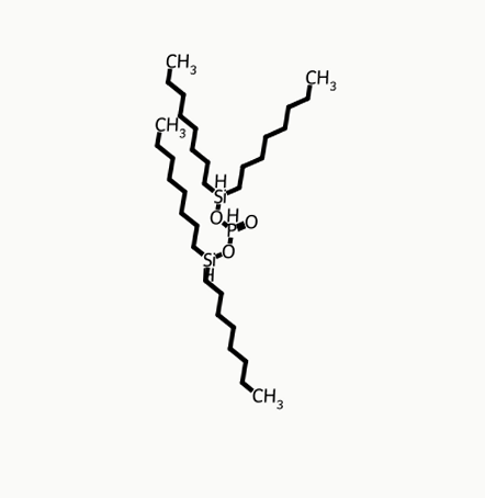 CCCCCCCC[SiH](CCCCCCCC)O[PH](=O)O[SiH](CCCCCCCC)CCCCCCCC